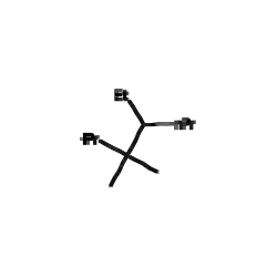 CCCC(CC)C(C)(C)[C](C)C